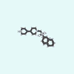 O=S(=O)(CN1CCC(C2CCNCC2)CC1)c1ccc2ccccc2c1